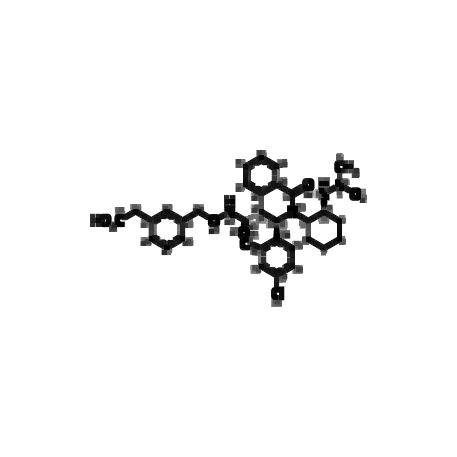 C[S+]([O-])N[C@H]1CCCCC1N1C(=O)c2ccccc2[C@@H](C(=O)NOCc2cccc(CC(=O)O)c2)[C@@H]1c1ccc(Cl)cc1Cl